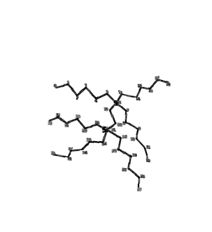 CCCCCC[Si](CCCCCC)(CCCCCC)CC[Si](CCCCCC)(CCCCCC)CCCCCC